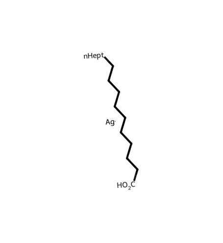 CCCCCCCCCCCCCCCCC(=O)O.[Ag]